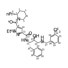 CCC[C@H]1CCCCN1C(=O)c1cc(C(=O)N[C@@H](Cc2ccccc2)[C@@H](O)CNCc2cccc(C(F)(F)F)c2)nn1CC